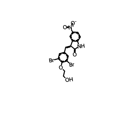 O=C1Nc2ccc([N+](=O)[O-])cc2C1=Cc1cc(Br)c(OCCO)c(Br)c1